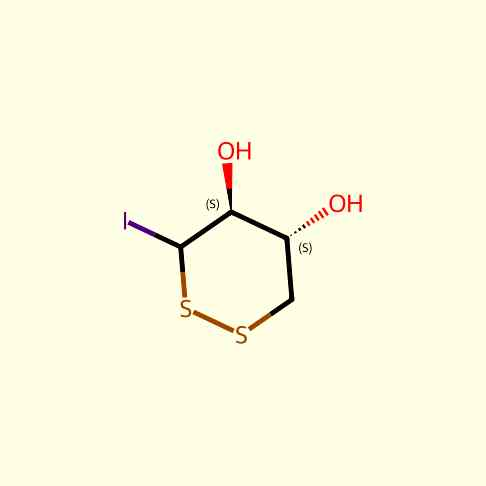 O[C@@H]1CSSC(I)[C@H]1O